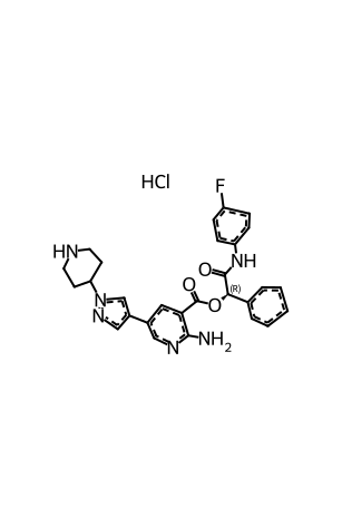 Cl.Nc1ncc(-c2cnn(C3CCNCC3)c2)cc1C(=O)O[C@@H](C(=O)Nc1ccc(F)cc1)c1ccccc1